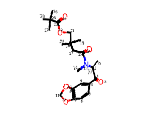 C[C@@H](C(=O)c1ccc2c(c1)OCO2)N(C)C(=O)CC(C)(C)COC(=O)C(C)(C)C